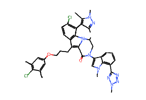 Cc1cc(OCCCc2c3n(c4c(-c5c(C)nn(C)c5C)c(Cl)ccc24)C(C)CN(c2cn(C)c4c(-c5nnn(C)n5)cccc24)C3=O)cc(C)c1Cl